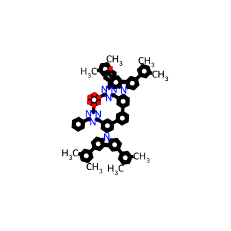 Cc1cc(C)cc(-c2ccc3c(c2)c2cc(-c4cc(C)cc(C)c4)ccc2n3-c2cc(-c3cccc(-c4ccc(-n5c6ccc(-c7cc(C)cc(C)c7)cc6c6cc(-c7cc(C)cc(C)c7)ccc65)c(-c5nc(-c6ccccc6)nc(-c6ccccc6)n5)c4)c3)cc(-c3nc(-c4ccccc4)nc(-c4ccccc4)n3)c2)c1